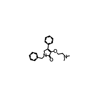 CN(C)CCOC1=C(c2ccccc2)CN(Cc2ccccc2)C1=O